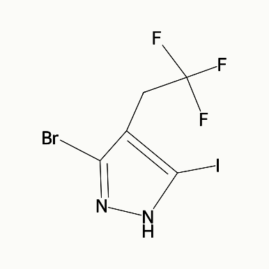 FC(F)(F)Cc1c(Br)n[nH]c1I